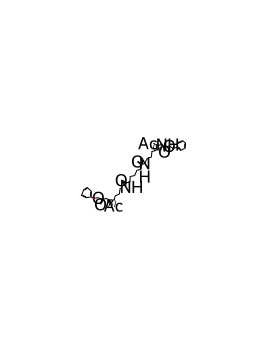 CC(=O)[C@H](CCCCNC(=O)CCCCCC(=O)NCCCC[C@H](NC(=O)OCc1ccccc1)C(C)=O)CC(=O)OCc1ccccc1